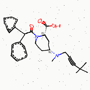 CN(CC#CC(C)(C)C)[C@@H]1CCN(C(=O)C(c2ccccc2)c2ccccc2)[C@H](C(=O)O)C1